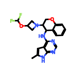 Cc1cc2c(NC3c4ccccc4OCC3N3CC(OC(F)F)C3)ncnc2[nH]1